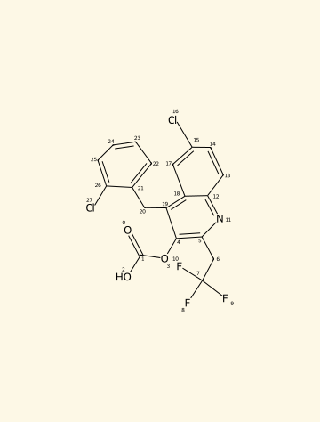 O=C(O)Oc1c(CC(F)(F)F)nc2ccc(Cl)cc2c1Cc1ccccc1Cl